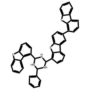 c1ccc(C2NC(c3cccc4c3sc3ccc(-c5cccc6c5sc5ccccc56)cc34)NC(c3cccc4oc5ccccc5c34)N2)cc1